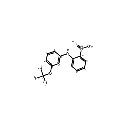 [2H]C([2H])([2H])Oc1cccc(Oc2ccccc2[N+](=O)[O-])c1